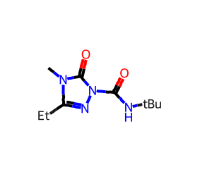 CCc1nn(C(=O)NC(C)(C)C)c(=O)n1C